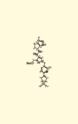 COCc1nn(Cc2cnc(N3CC4C(C3)C4(F)F)nc2C)cc1C(=O)N[C@@H]1CCc2c(C)n[nH]c21